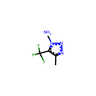 Cc1nnn(C)c1C(F)(F)F.N